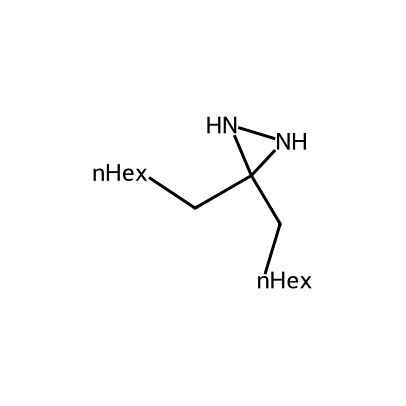 CCCCCCCC1(CCCCCCC)NN1